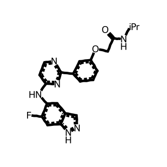 CC(C)NC(=O)COc1cccc(-c2nccc(Nc3cc4cn[nH]c4cc3F)n2)c1